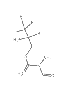 C=C(OCC(F)(P)C(F)(F)F)N(C)C=O